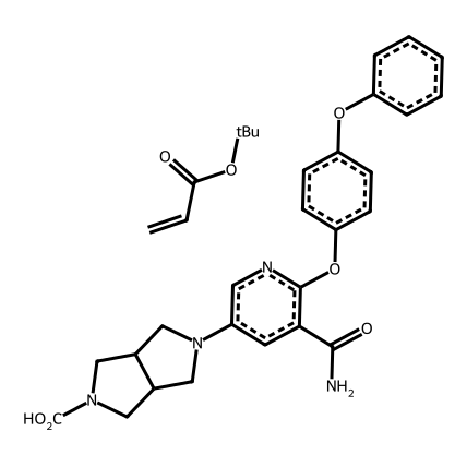 C=CC(=O)OC(C)(C)C.NC(=O)c1cc(N2CC3CN(C(=O)O)CC3C2)cnc1Oc1ccc(Oc2ccccc2)cc1